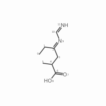 CC/C(CC(C)C(=O)O)=N\C=N